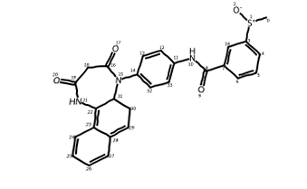 C[S+]([O-])c1cccc(C(=O)Nc2ccc(N3C(=O)CC(=O)NC4=c5ccccc5=CCC43)cc2)c1